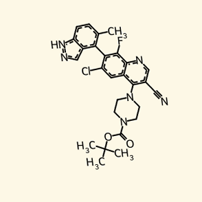 Cc1ccc2[nH]ncc2c1-c1c(Cl)cc2c(N3CCN(C(=O)OC(C)(C)C)CC3)c(C#N)cnc2c1F